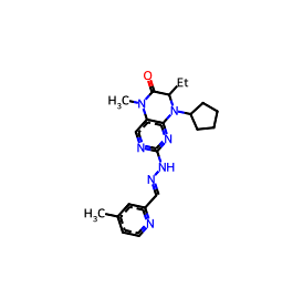 CCC1C(=O)N(C)c2cnc(NN=Cc3cc(C)ccn3)nc2N1C1CCCC1